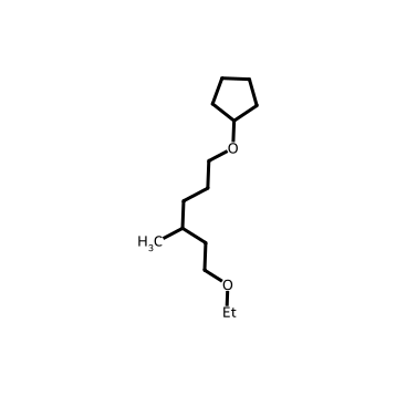 CCOCCC(C)CCCOC1CCCC1